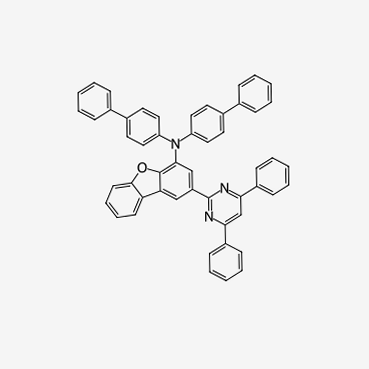 c1ccc(-c2ccc(N(c3ccc(-c4ccccc4)cc3)c3cc(-c4nc(-c5ccccc5)cc(-c5ccccc5)n4)cc4c3oc3ccccc34)cc2)cc1